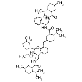 CC(C)[C@@H]1CC[C@@H](C)C[C@H]1C(=O)NC[C@@H](NC(=O)[C@@H]1C[C@H](C)CC[C@H]1C(C)C)c1cccc(C[C@@H]2CC[C@@H](C(C)C)[C@H](C(=O)N[C@H](CNC(=O)[C@@H]3C[C@H](C)CC[C@H]3C(C)C)c3ccccc3)C2)c1